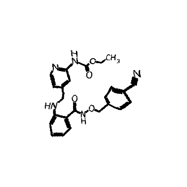 CCOC(=O)Nc1cc(CNc2ccccc2C(=O)NOCc2ccc(C#N)cc2)ccn1